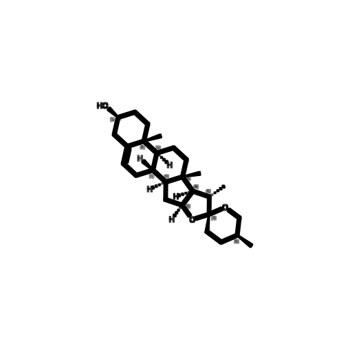 C[C@H]1CC[C@@]2(OC1)O[C@H]1C[C@H]3[C@@H]4CC=C5C[C@@H](O)CC[C@]5(C)[C@H]4CC[C@]3(C)[C@H]1[C@@H]2C